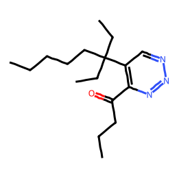 CCCCCC(CC)(CC)c1cnnnc1C(=O)CCC